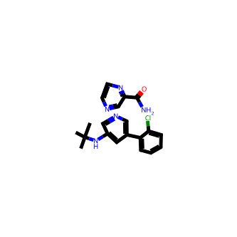 CC(C)(C)Nc1cncc(-c2ccccc2Cl)c1.NC(=O)c1cnccn1